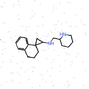 c1ccc2c(c1)CCCC21CC1NCC1CCCCN1